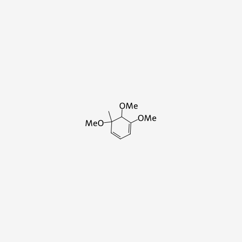 COC1=CC=CC(C)(OC)C1OC